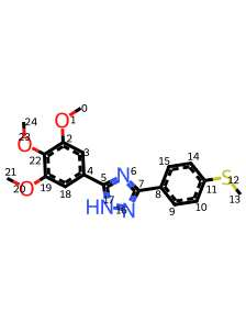 COc1cc(-c2nc(-c3ccc(SC)cc3)n[nH]2)cc(OC)c1OC